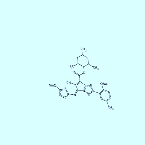 [C-]#[N+]C1=C(C(=O)OC2C(C)CC(C)CC2C)c2nc(-c3cc(C)ccc3OC)nn2/C1=N/c1ccc(OC)s1